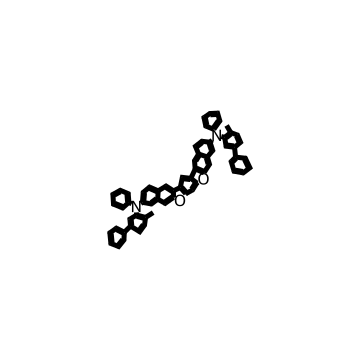 Cc1ccc(-c2ccccc2)cc1N(c1ccccc1)c1ccc2cc3c(cc2c1)oc1cc2oc4cc5cc(N(c6ccccc6)c6cc(-c7ccccc7)ccc6C)ccc5cc4c2cc13